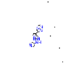 CN1CCC(Nc2ncc3c(-c4cnc5nccn5c4)ccn3n2)CC1